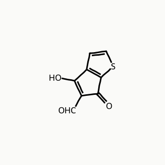 O=CC1=C(O)c2ccsc2C1=O